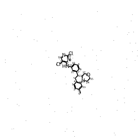 Cc1[c]cc(CCc2cccc(Nc3nc(Cl)ncc3Cl)c2)c(N2CCOCC2)c1